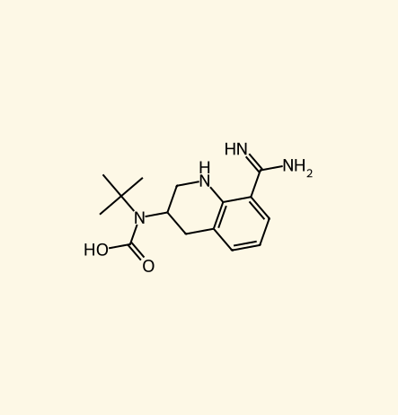 CC(C)(C)N(C(=O)O)C1CNc2c(cccc2C(=N)N)C1